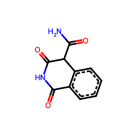 NC(=O)C1C(=O)NC(=O)c2ccccc21